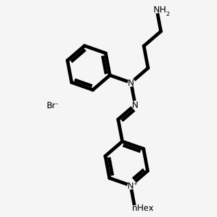 CCCCCC[n+]1ccc(/C=N/N(CCCN)c2ccccc2)cc1.[Br-]